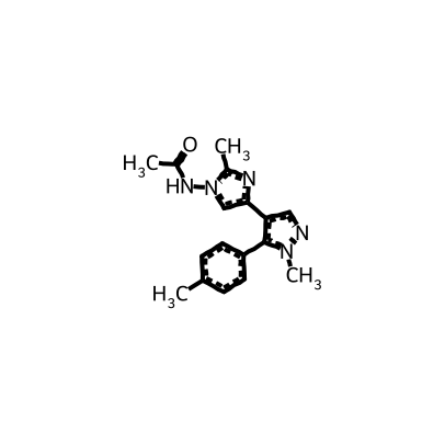 CC(=O)Nn1cc(-c2cnn(C)c2-c2ccc(C)cc2)nc1C